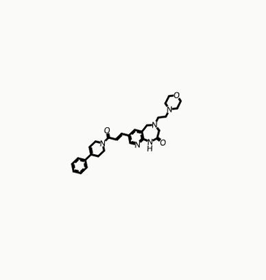 O=C1CN(CCN2CCOCC2)Cc2cc(/C=C/C(=O)N3CC=C(c4ccccc4)CC3)cnc2N1